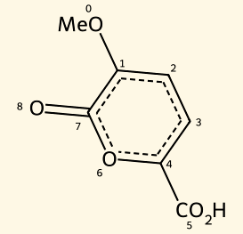 COc1ccc(C(=O)O)oc1=O